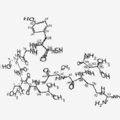 CC[C@H](C)C(NC(=O)[C@H](CO)NC(=O)CNN[C@@H](Cc1ccc(O)cc1)C(=O)S)C(=O)C(=O)[C@H](CC(C)C)NCC(=O)[C@H](C)NCC(=O)[C@H](CCCNC(N)N)NN[C@H](C(N)=O)[C@@H](C)O